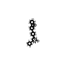 Ic1nc(-c2ccccc2)cc(-c2ccc(-c3ccc4c(c3)oc3ccccc34)cc2)n1